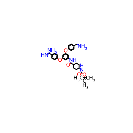 CC(C)(C)OC(=O)NC1CCC(C(=O)Nc2cc(Oc3ccc(CN)cc3)cc(Oc3ccc(C(=N)N)cc3)c2)CC1